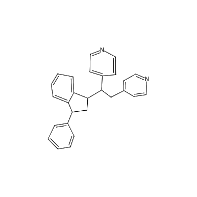 c1ccc(C2CC(C(Cc3ccncc3)c3ccncc3)c3ccccc32)cc1